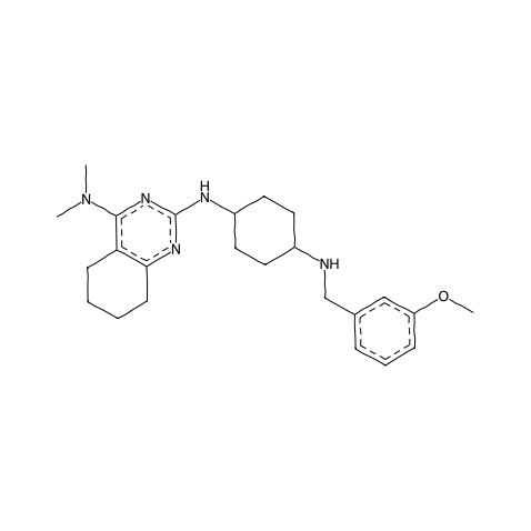 COc1cccc(CNC2CCC(Nc3nc4c(c(N(C)C)n3)CCCC4)CC2)c1